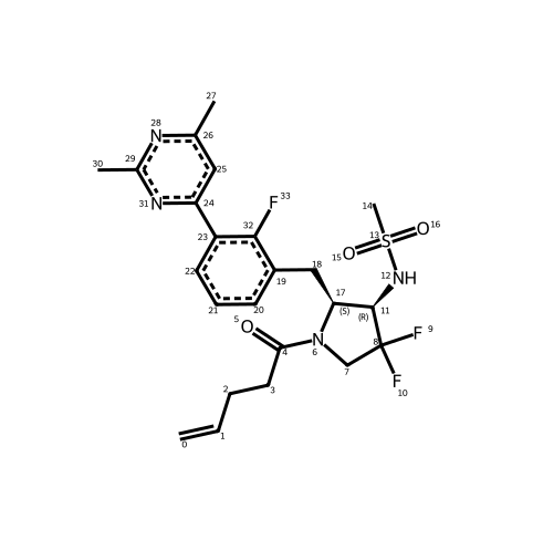 C=CCCC(=O)N1CC(F)(F)[C@H](NS(C)(=O)=O)[C@@H]1Cc1cccc(-c2cc(C)nc(C)n2)c1F